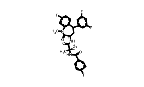 CN1C(=O)[C@H](NC(=O)C(C)(C)NC(=O)c2ccc(F)cc2)CC(c2cc(F)cc(F)c2)c2ccc(F)cc21